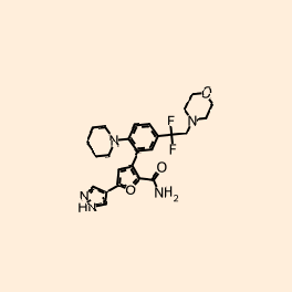 NC(=O)c1oc(-c2cn[nH]c2)cc1-c1cc(C(F)(F)CN2CCOCC2)ccc1N1CCCCC1